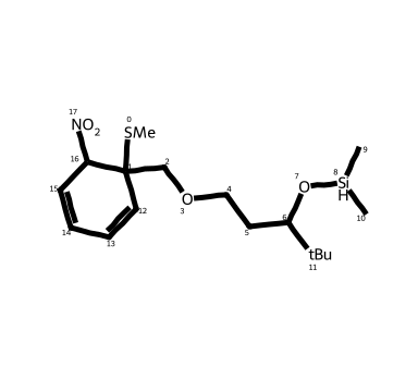 CSC1(COCCC(O[SiH](C)C)C(C)(C)C)C=CC=CC1[N+](=O)[O-]